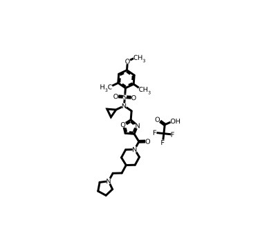 COc1cc(C)c(S(=O)(=O)N(Cc2nc(C(=O)N3CCC(CCN4CCCC4)CC3)co2)C2CC2)c(C)c1.O=C(O)C(F)(F)F